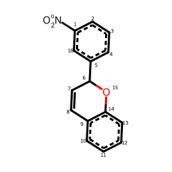 O=[N+]([O-])c1cccc(C2C=Cc3ccccc3O2)c1